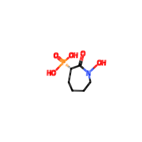 O=C1[C@@H](P(=O)(O)O)CCCCN1O